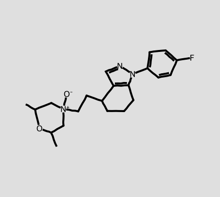 CC1C[N+]([O-])(CCC2CCCc3c2cnn3-c2ccc(F)cc2)CC(C)O1